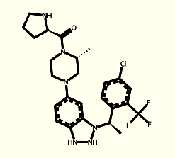 C[C@@H]1CN(c2ccc3c(c2)N([C@H](C)c2ccc(Cl)cc2C(F)(F)F)NN3)CCN1C(=O)[C@H]1CCCN1